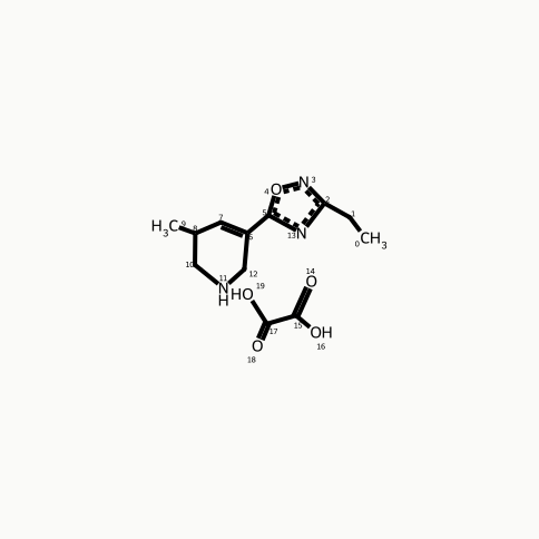 CCc1noc(C2=CC(C)CNC2)n1.O=C(O)C(=O)O